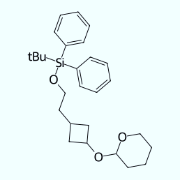 CC(C)(C)[Si](OCCC1CC(OC2CCCCO2)C1)(c1ccccc1)c1ccccc1